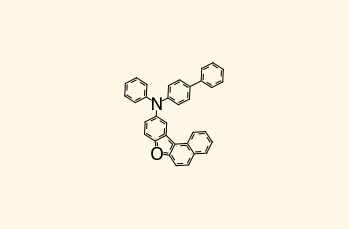 c1ccc(-c2ccc(N(c3ccccc3)c3ccc4oc5ccc6ccccc6c5c4c3)cc2)cc1